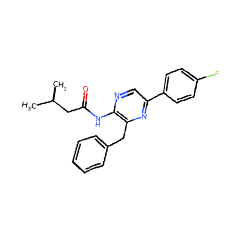 CC(C)CC(=O)Nc1ncc(-c2ccc(F)cc2)nc1Cc1ccccc1